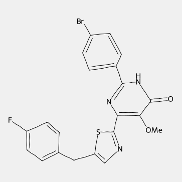 COc1c(-c2ncc(Cc3ccc(F)cc3)s2)nc(-c2ccc(Br)cc2)[nH]c1=O